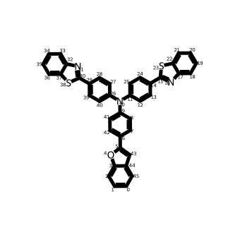 c1ccc2oc(-c3ccc(N(c4ccc(-c5nc6ccccc6s5)cc4)c4ccc(-c5nc6ccccc6s5)cc4)cc3)cc2c1